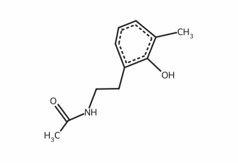 CC(=O)NCCc1cccc(C)c1O